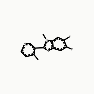 Cc1ccncc1-c1nc2cc(F)c(F)cc2n1C